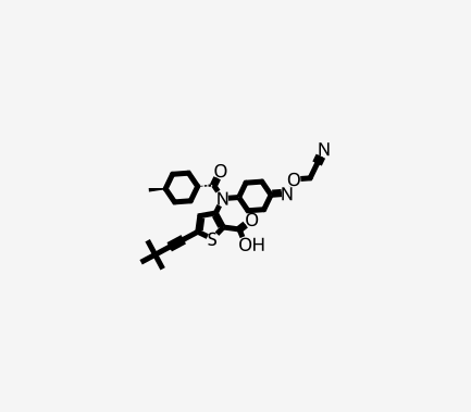 CC(C)(C)C#Cc1cc(N(C(=O)[C@H]2CC[C@H](C)CC2)C2CCC(=NOCC#N)CC2)c(C(=O)O)s1